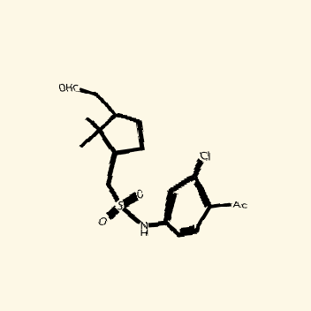 CC(=O)c1ccc(NS(=O)(=O)CC2CCC(CC=O)C2(C)C)cc1Cl